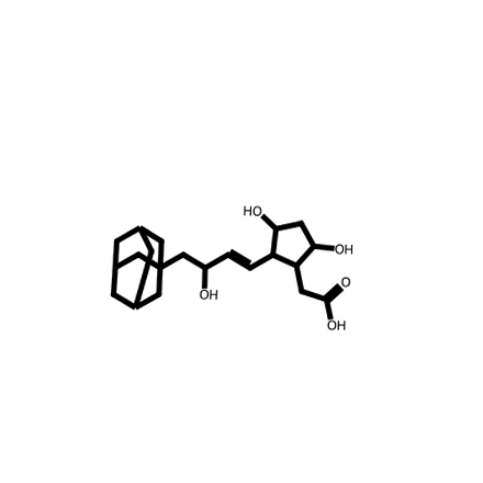 O=C(O)CC1C(O)CC(O)C1C=CC(O)CC12CC3CC(CC(C3)C1)C2